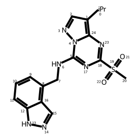 CC(C)c1cnn2c(NCc3cccc4[nH]ncc34)nc(S(C)(=O)=O)nc12